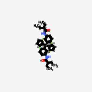 CCC(CC)C(=O)Nc1ccc(F)[c]([Ti]([C]2=CC=CC2)([C]2=CC=CC2)[c]2c(F)ccc(NC(=O)C(CC)CC)c2F)c1F